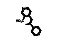 C/C(=C\c1ccncc1C(=O)O)c1ccccc1